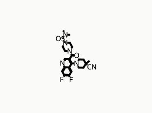 CN(C)[S+]([O-])N1CCN(C(=O)c2cnc3cc(F)c(F)cc3c2N2CCC(C)(C#N)CC2)CC1